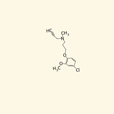 C#CCN(C)CCCOc1ccc(Cl)cc1OC